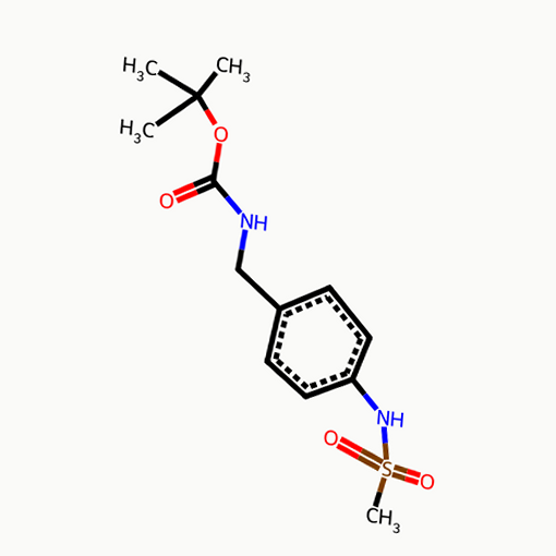 CC(C)(C)OC(=O)NCc1ccc(NS(C)(=O)=O)cc1